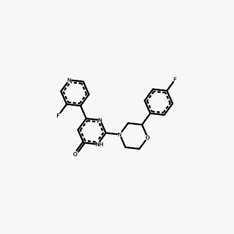 O=c1cc(-c2ccncc2F)nc(N2CCOC(c3ccc(F)cc3)C2)[nH]1